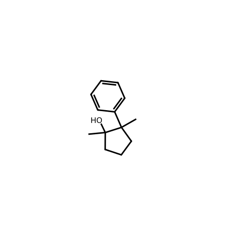 CC1(O)CCCC1(C)c1ccccc1